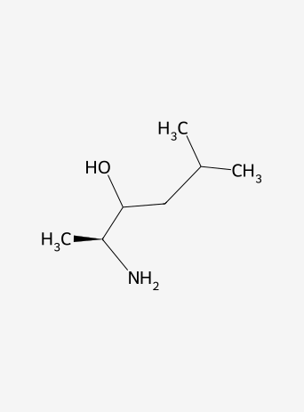 CC(C)CC(O)[C@H](C)N